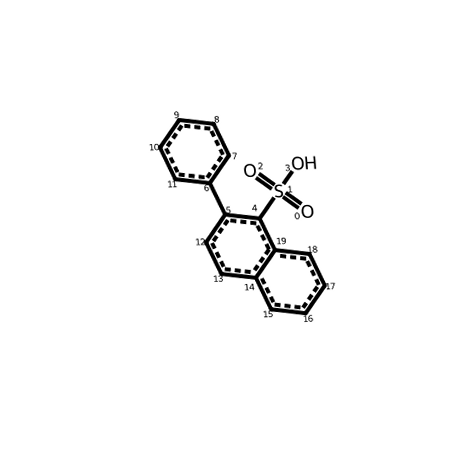 O=S(=O)(O)c1c(-c2ccccc2)ccc2ccccc12